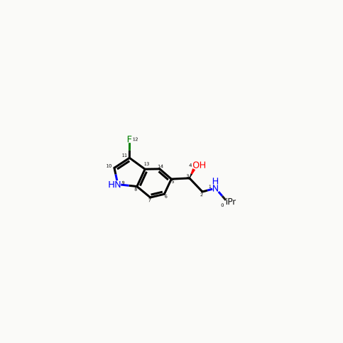 CC(C)NC[C@H](O)c1ccc2[nH]cc(F)c2c1